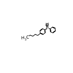 CCCCCc1ccc([PH](=O)c2ccccc2)cc1